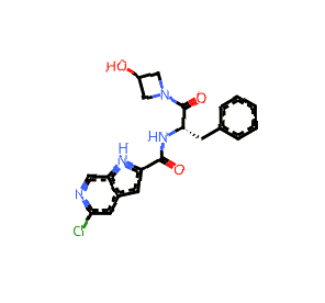 O=C(N[C@@H](Cc1ccccc1)C(=O)N1CC(O)C1)c1cc2cc(Cl)ncc2[nH]1